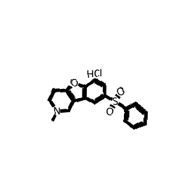 CN1CCc2oc3ccc(S(=O)(=O)c4ccccc4)cc3c2C1.Cl